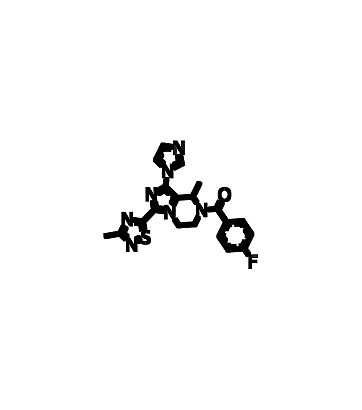 Cc1nsc(-c2nc(-n3ccnc3)c3n2CCN(C(=O)c2ccc(F)cc2)C3C)n1